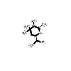 CC(C)[C@H]1CC(C)(C)[C@@H](O)[C@H](C)O1